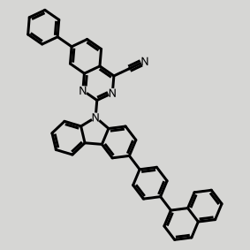 N#Cc1nc(-n2c3ccccc3c3cc(-c4ccc(-c5cccc6ccccc56)cc4)ccc32)nc2cc(-c3ccccc3)ccc12